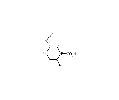 C[C@H]1CO[C@H](CBr)CN1C(=O)O